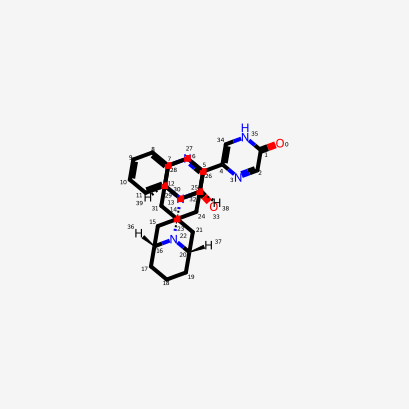 O=c1cnc(-c2nc3ccccc3n([C@H]3C[C@H]4CCC[C@@H](C3)N4[C@H]3C[C@@H]4CCC[C@@H](C4)C3)c2=O)c[nH]1